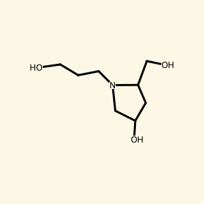 OCCCN1CC(O)CC1CO